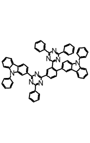 c1ccc(-c2nc(-c3ccc(-c4ccc5c(c4)c4ccccc4n5-c4ccccc4)c(-c4nc(-c5ccccc5)nc(-c5ccccc5)n4)c3)nc(-c3ccc4c5ccccc5n(-c5ccccc5)c4c3)n2)cc1